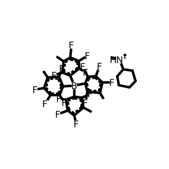 C[NH+](C)C1CCCCC1.Cc1c(F)c(F)c(F)c([B-](c2c(F)c(C)c(F)c(F)c2F)(c2c(F)c(C)c(F)c(F)c2F)c2c(F)c(C)c(F)c(F)c2F)c1F